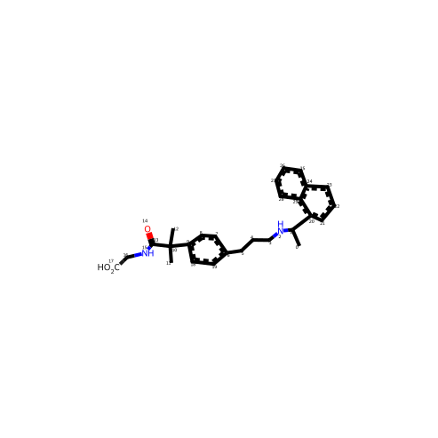 CC(NCCCc1ccc(C(C)(C)C(=O)NCC(=O)O)cc1)c1cccc2ccccc12